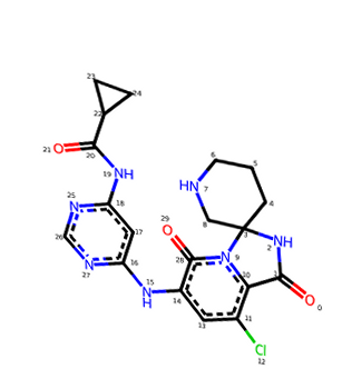 O=C1NC2(CCCNC2)n2c1c(Cl)cc(Nc1cc(NC(=O)C3CC3)ncn1)c2=O